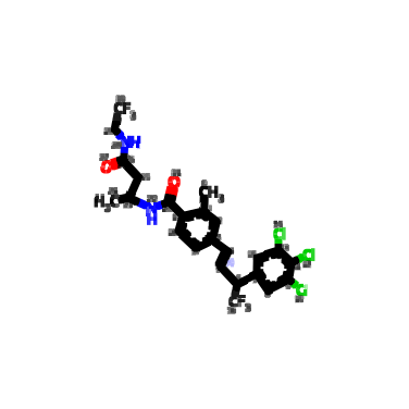 Cc1cc(/C=C/C(c2cc(Cl)c(Cl)c(Cl)c2)C(F)(F)F)ccc1C(=O)NC(C)CC(=O)NCC(F)(F)F